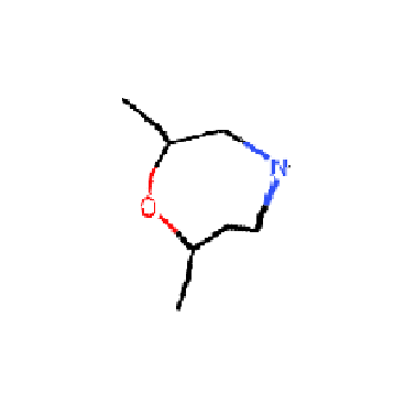 CC1C[N]CC(C)O1